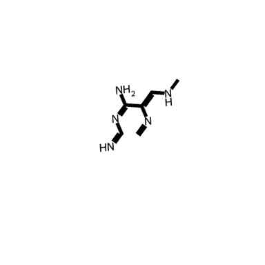 C=NC(=C\NC)/C(N)=N\C=N